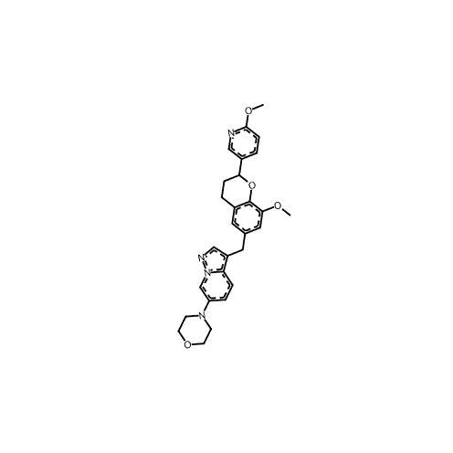 COc1ccc(C2CCc3cc(Cc4cnn5cc(N6CCOCC6)ccc45)cc(OC)c3O2)cn1